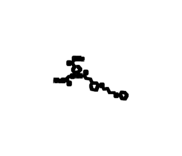 COC(=O)COc1cc(C(=O)OC)ccc1NC(=O)CCc1cccc(OCCCCOc2ccccc2)c1